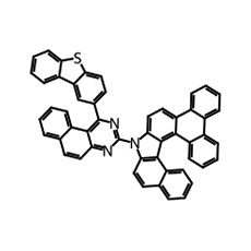 c1ccc2c(c1)ccc1nc(-n3c4ccc5ccccc5c4c4c5c6ccccc6c6ccccc6c5ccc43)nc(-c3ccc4sc5ccccc5c4c3)c12